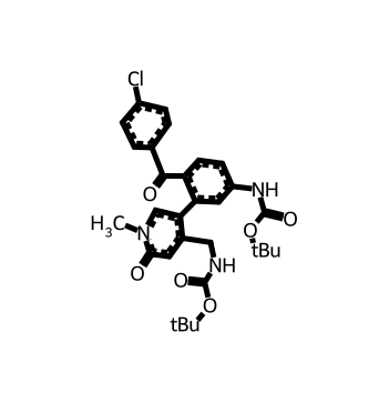 Cn1cc(-c2cc(NC(=O)OC(C)(C)C)ccc2C(=O)c2ccc(Cl)cc2)c(CNC(=O)OC(C)(C)C)cc1=O